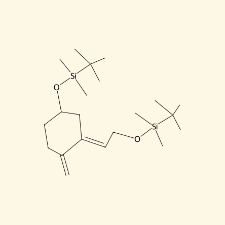 C=C1CCC(O[Si](C)(C)C(C)(C)C)CC1=CCO[Si](C)(C)C(C)(C)C